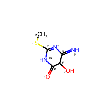 CSC1=NC(=N)C(O)C(=O)N1